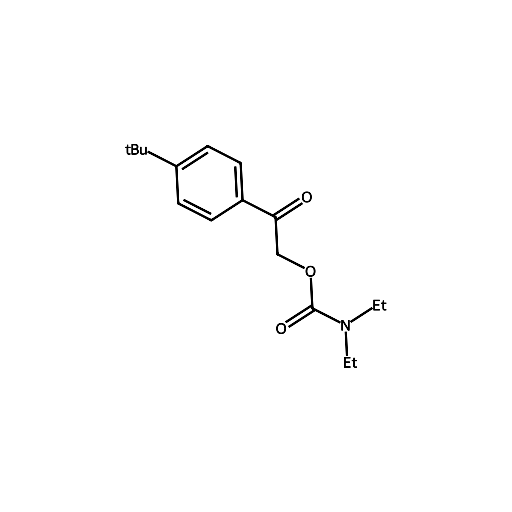 CCN(CC)C(=O)OCC(=O)c1ccc(C(C)(C)C)cc1